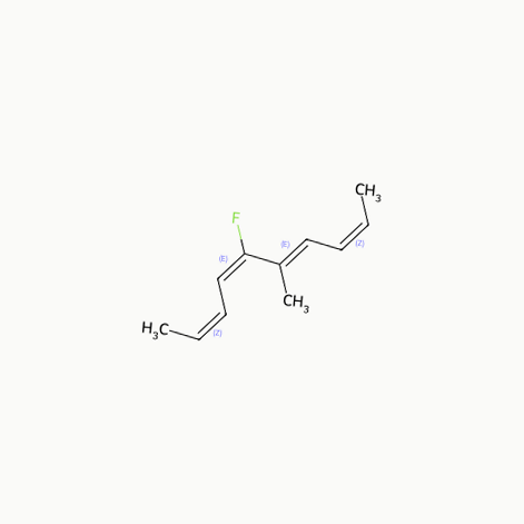 C\C=C/C=C(C)/C(F)=C\C=C/C